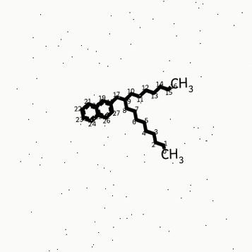 CCCCCCCCCC(CCCCCCC)Cc1[c]c2ccccc2cc1